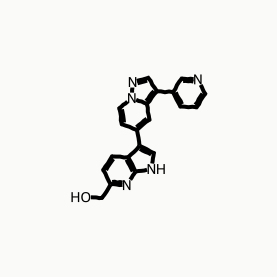 OCc1ccc2c(-c3ccn4ncc(-c5cccnc5)c4c3)c[nH]c2n1